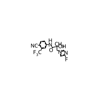 C[C@](O)(Cn1cnc(F)c1)C(=O)Nc1ccc(C#N)c(C(F)(F)F)c1